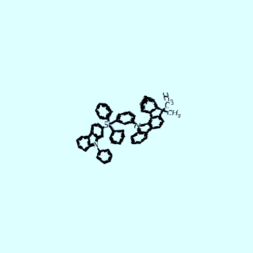 CC1(C)c2ccccc2-c2c1ccc1c3ccccc3n(-c3cccc([Si](c4ccccc4)(c4ccccc4)c4ccc5c6ccccc6n(-c6ccccc6)c5c4)c3)c21